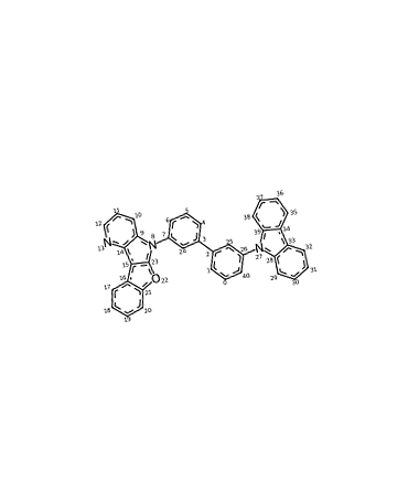 c1cc(-c2cccc(-n3c4cccnc4c4c5ccccc5oc43)c2)cc(-n2c3ccccc3c3ccccc32)c1